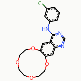 Clc1cccc(Nc2ncnc3cc4c(cc23)OCCOCCOCCO4)c1